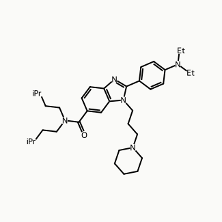 CCN(CC)c1ccc(-c2nc3ccc(C(=O)N(CCC(C)C)CCC(C)C)cc3n2CCCN2CCCCC2)cc1